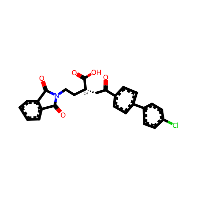 O=C(C[C@H](CCN1C(=O)c2ccccc2C1=O)C(=O)O)c1ccc(-c2ccc(Cl)cc2)cc1